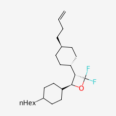 C=CCC[C@H]1CC[C@H]([C@H]2[C@H](C3CCC(CCCCCC)CC3)OC2(F)F)CC1